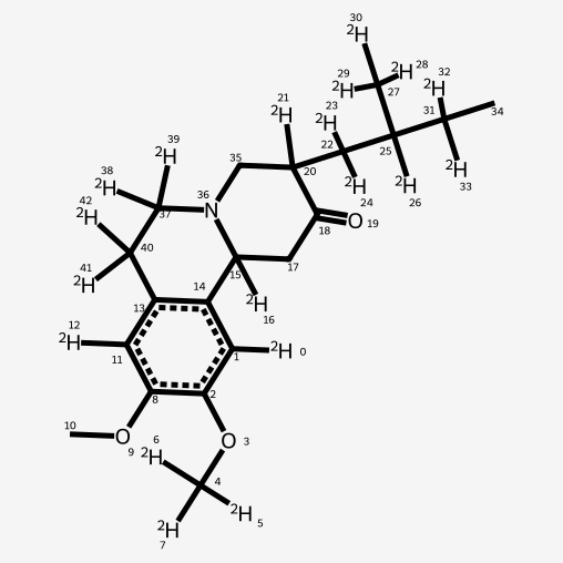 [2H]c1c(OC([2H])([2H])[2H])c(OC)c([2H])c2c1C1([2H])CC(=O)C([2H])(C([2H])([2H])C([2H])(C([2H])([2H])[2H])C([2H])([2H])C)CN1C([2H])([2H])C2([2H])[2H]